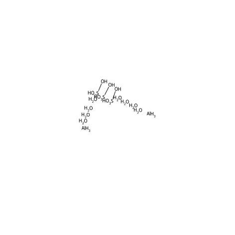 O.O.O.O.O.O.O.O.O=S(=O)(O)O.O=S(=O)(O)O.O=S(=O)(O)O.[AlH3].[AlH3]